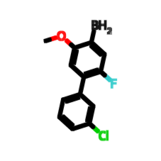 Bc1cc(F)c(-c2cccc(Cl)c2)cc1OC